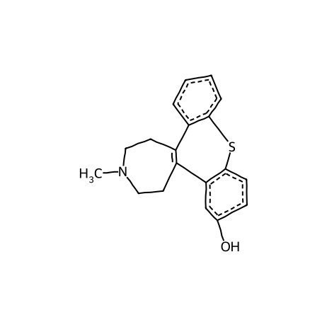 CN1CCC2=C(CC1)c1cc(O)ccc1Sc1ccccc12